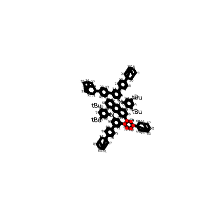 CC(C)(C)c1cc(N(c2cc(-c3ccc(C45CC6CC(CC(C6)C4)C5)cc3)cc(-c3ccc(C45CC6CC7CC(C4)C7(C6)C5)cc3)c2)c2c3ccccc3c(N(c3cc(-c4ccc(C56CC7CC(CC(C7)C5)C6)cc4)cc(-c4ccc(C56CC7CC(CC(C7)C5)C6)cc4)c3)c3cc(C(C)(C)C)cc(C(C)(C)C)c3)c3cc(-c4ccccc4)ccc23)cc(C(C)(C)C)c1